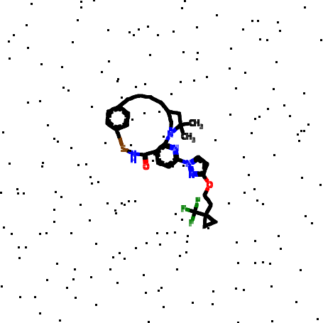 CC1(C)CC2CCCCc3ccc(cc3)SNC(=O)c3ccc(-n4ccc(OCCC5(C(F)(F)F)CC5)n4)nc3N1C2